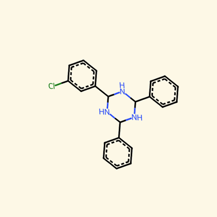 Clc1cccc(C2NC(c3ccccc3)NC(c3ccccc3)N2)c1